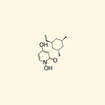 C=C[C@H]1C[C@@H](C)C[C@@H](C)[C@@H]1c1c(O)ccn(O)c1=O